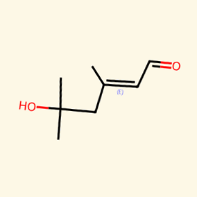 C/C(=C\C=O)CC(C)(C)O